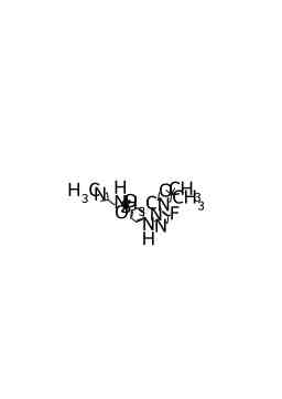 C[C@H]1COC(C)(C)CN1c1nc(Nc2ccc(S(=O)(=O)NCC3CN(C)C3)cc2)ncc1F